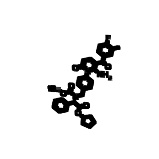 Cc1cc(C(=O)c2ccc(=O)n(-c3ccc(CN(C(=O)OC(C)(C)C)[C@H](C(=O)OC4CCCC4)c4ccccc4)cc3)c2N)ccc1F